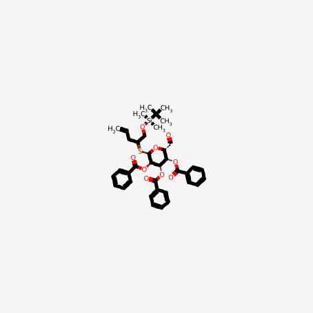 C=CCC(CO[Si](C)(C)C(C)(C)C)S[C@H]1O[C@H](C=O)[C@H](OC(=O)c2ccccc2)[C@H](OC(=O)c2ccccc2)[C@H]1OC(=O)c1ccccc1